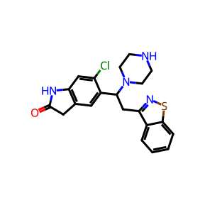 O=C1Cc2cc(C(Cc3nsc4ccccc34)N3CCNCC3)c(Cl)cc2N1